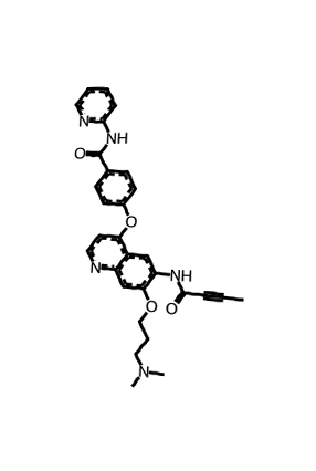 CC#CC(=O)Nc1cc2c(Oc3ccc(C(=O)Nc4ccccn4)cc3)ccnc2cc1OCCCN(C)C